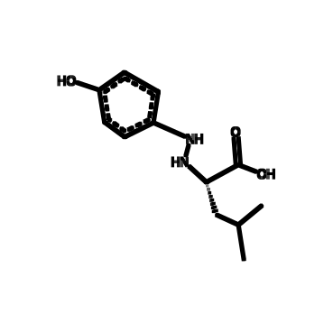 CC(C)C[C@H](NNc1ccc(O)cc1)C(=O)O